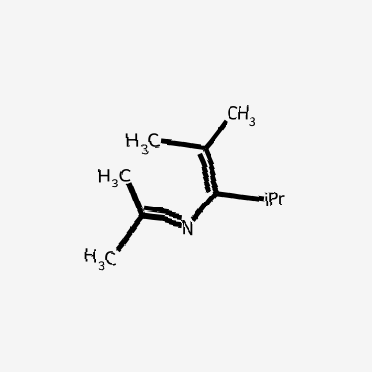 CC(C)=NC(=C(C)C)C(C)C